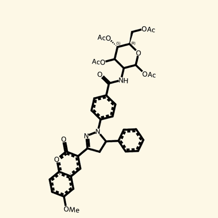 COc1ccc2oc(=O)c(C3=NN(c4ccc(C(=O)NC5C(OC(C)=O)O[C@H](COC(C)=O)[C@@H](OC(C)=O)C5OC(C)=O)cc4)C(c4ccccc4)C3)cc2c1